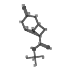 CC(C)(C)OC(=O)C12CC3CC(=O)CC1N32